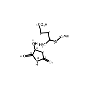 CSSC(C)CCC(=O)O.O=C1CC(O)C(=O)N1